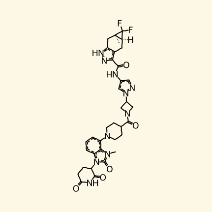 Cn1c(=O)n(C2CCC(=O)NC2=O)c2cccc(N3CCC(C(=O)N4CC(n5cc(NC(=O)c6n[nH]c7c6C[C@@H]6C(F)(F)[C@]6(C)C7)cn5)C4)CC3)c21